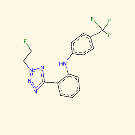 FCCn1nnc(-c2ccccc2Nc2ccc(C(F)(F)F)cc2)n1